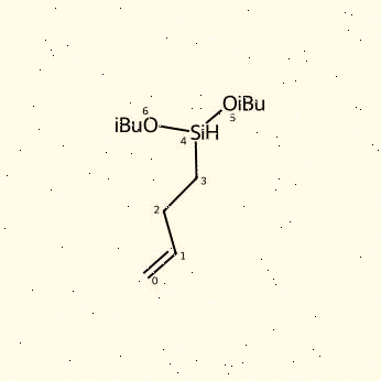 C=CCC[SiH](OCC(C)C)OCC(C)C